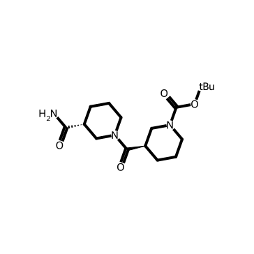 CC(C)(C)OC(=O)N1CCC[C@@H](C(=O)N2CCC[C@@H](C(N)=O)C2)C1